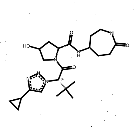 CC(C)(C)[C@@H](C(=O)N1CC(O)CC1C(=O)NC1CCNC(=O)CC1)n1cc(C2CC2)nn1